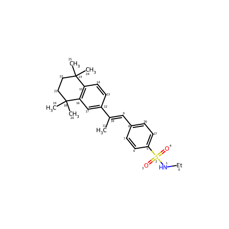 CCNS(=O)(=O)c1ccc(C=C(C)c2ccc3c(c2)C(C)(C)CCC3(C)C)cc1